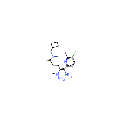 C=C(CC/C(=C(/N)c1ccc(Cl)c(C)n1)N(C)N)N(C)CC1CCC1